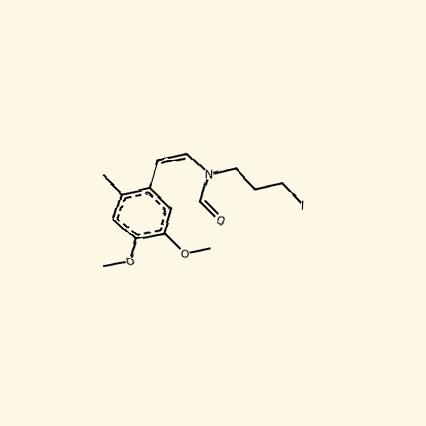 COc1cc(C)c(/C=C\N(C=O)CCCI)cc1OC